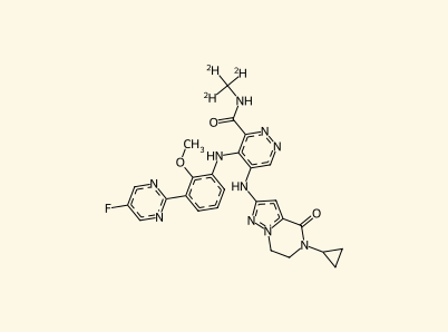 [2H]C([2H])([2H])NC(=O)c1nncc(Nc2cc3n(n2)CCN(C2CC2)C3=O)c1Nc1cccc(-c2ncc(F)cn2)c1OC